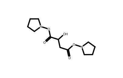 O=C(CC(O)C(=O)ON1CCCC1)ON1CCCC1